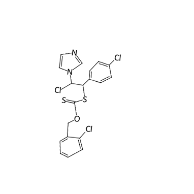 S=C(OCc1ccccc1Cl)SC(c1ccc(Cl)cc1)C(Cl)n1ccnc1